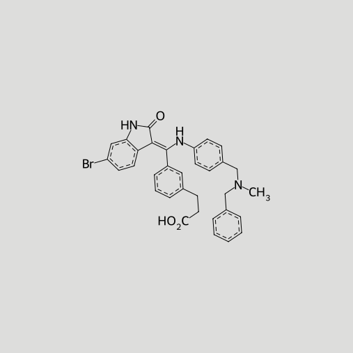 CN(Cc1ccccc1)Cc1ccc(N/C(=C2\C(=O)Nc3cc(Br)ccc32)c2cccc(CCC(=O)O)c2)cc1